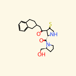 O=C(CC1CCc2ccccc2C1)C1C(=S)CN[C@@H]1C(=O)N1CCC[C@H]1CO